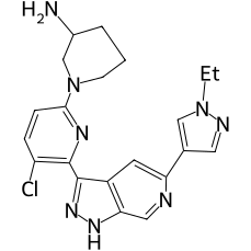 CCn1cc(-c2cc3c(-c4nc(N5CCCC(N)C5)ccc4Cl)n[nH]c3cn2)cn1